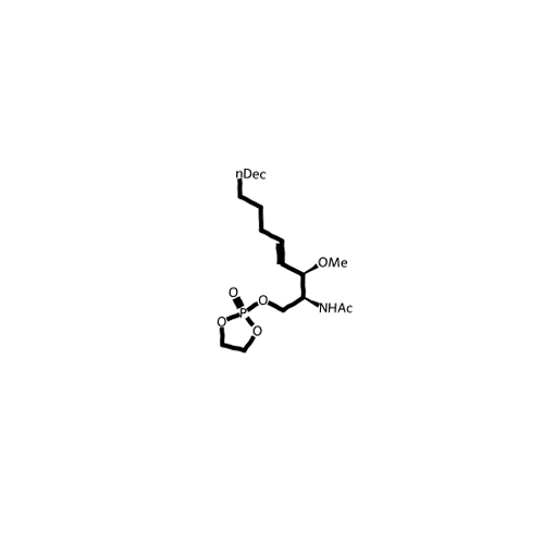 CCCCCCCCCCCCC/C=C/[C@@H](OC)[C@H](COP1(=O)OCCO1)NC(C)=O